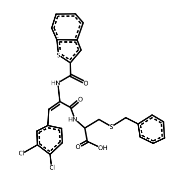 O=C(NC(CSCc1ccccc1)C(=O)O)C(=Cc1ccc(Cl)c(Cl)c1)NC(=O)c1cc2ccccc2s1